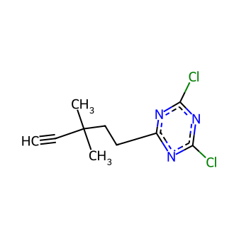 C#CC(C)(C)CCc1nc(Cl)nc(Cl)n1